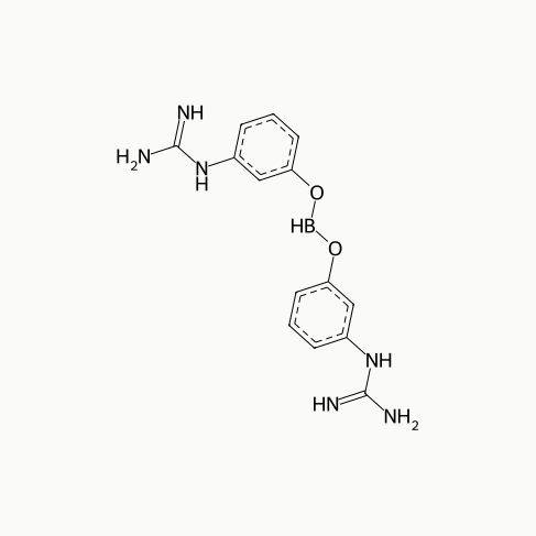 N=C(N)Nc1cccc(OBOc2cccc(NC(=N)N)c2)c1